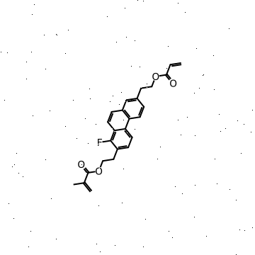 C=CC(=O)OCCc1ccc2c(ccc3c(F)c(CCOC(=O)C(=C)C)ccc32)c1